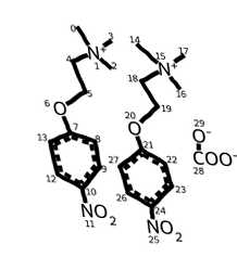 C[N+](C)(C)CCOc1ccc([N+](=O)[O-])cc1.C[N+](C)(C)CCOc1ccc([N+](=O)[O-])cc1.O=C([O-])[O-]